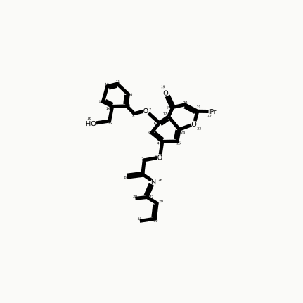 C=C(COc1cc(OCc2ccccc2CO)c2c(=O)cc(C(C)C)oc2c1)/N=C(C)/C=C\C